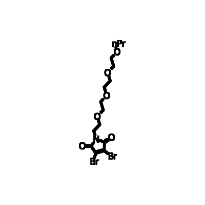 CCCOCCOCCOCCOCCN1C(=O)C(Br)=C(Br)C1=O